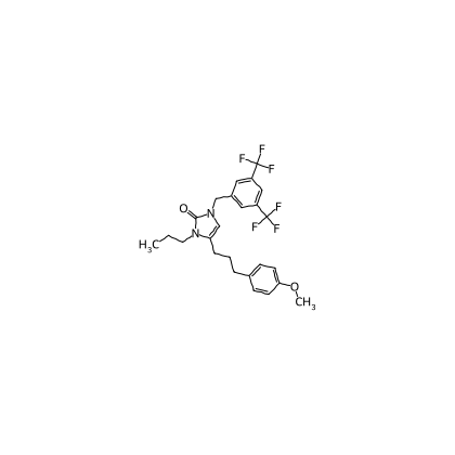 CCCn1c(CCCc2ccc(OC)cc2)cn(Cc2cc(C(F)(F)F)cc(C(F)(F)F)c2)c1=O